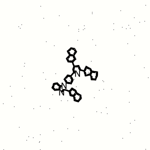 c1ccc2cc(-c3cc(-c4ccc(-n5c(-c6ccc7ccccc7c6)nc6ccccc65)cc4)nc(-c4ccc5ccccc5c4)c3)ccc2c1